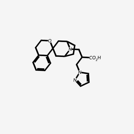 O=C(O)C(CN1C2CCC1CC1(C2)OCCc2ccccc21)Cn1cccn1